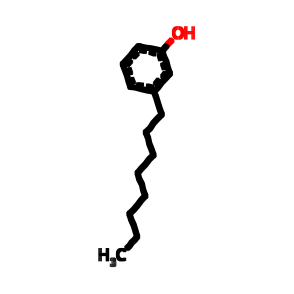 CCCCCCCCc1cccc(O)c1